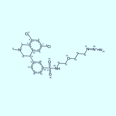 CN1Cc2c(Cl)cc(Cl)cc2C(c2cccc(S(=O)(=O)NCCOCCCN=[N+]=[N-])c2)C1